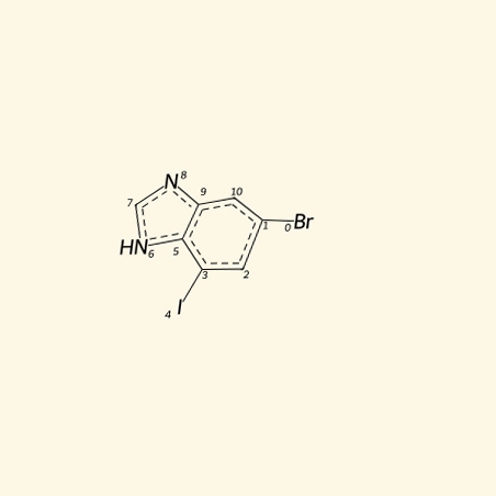 Brc1cc(I)c2[nH]cnc2c1